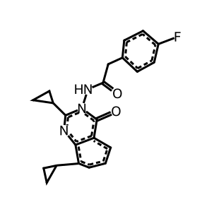 O=C(Cc1ccc(F)cc1)Nn1c(C2CC2)nc2c(C3CC3)cccc2c1=O